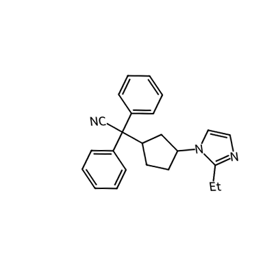 CCc1nccn1C1CCC(C(C#N)(c2ccccc2)c2ccccc2)C1